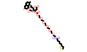 CCC(C)C(=O)O[C@@H]1C[C@H](C)C=C2C=CC(C)[C@H](CCC3CC(OC(=O)OCCOCCOCCOCCOCCOCCNC(=O)CCCCC4CCSS4)CC(=O)O3)[C@@H]21